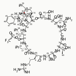 CC[C@H](C)[C@@H]1NC(=O)[C@@H](CCCNC(=N)N)NC(=O)[C@H](CC(C)C)NC(=O)[C@H]([C@H](OC(=O)C(F)(F)F)C(C)C)NC(=O)[C@@H](N(C(=O)[C@@H](N)CC(C)C)C(=S)Nc2ccccc2)[C@@H](c2ccccc2)OC(=O)[C@H](CO)NC(=O)[C@H]([C@H](O)C(N)=O)NC(=O)CNC(=O)[C@H]([C@H](C)O)NC1=O